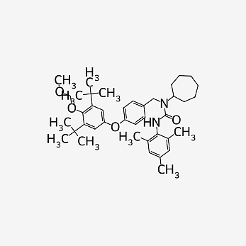 COCOc1c(C(C)(C)C)cc(Oc2ccc(CN(C(=O)Nc3c(C)cc(C)cc3C)C3CCCCCC3)cc2)cc1C(C)(C)C